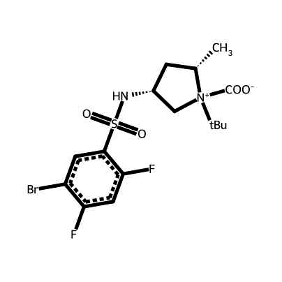 C[C@H]1C[C@@H](NS(=O)(=O)c2cc(Br)c(F)cc2F)C[N+]1(C(=O)[O-])C(C)(C)C